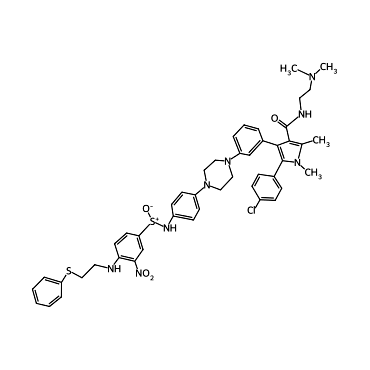 Cc1c(C(=O)NCCN(C)C)c(-c2cccc(N3CCN(c4ccc(N[S+]([O-])c5ccc(NCCSc6ccccc6)c([N+](=O)[O-])c5)cc4)CC3)c2)c(-c2ccc(Cl)cc2)n1C